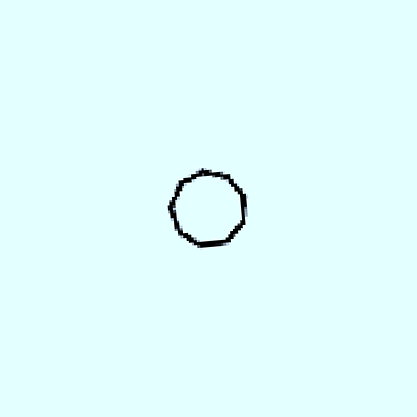 [CH]1CCCCCCCC1